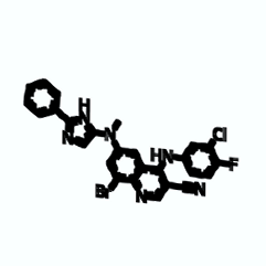 CN(c1cc(Br)c2ncc(C#N)c(Nc3ccc(F)c(Cl)c3)c2c1)c1cnc(-c2ccccc2)[nH]1